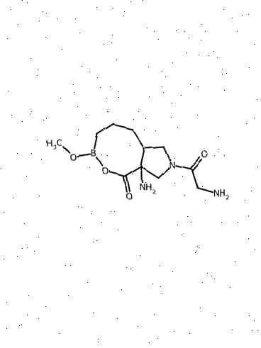 COB1CCCC2CN(C(=O)CN)CC2(N)C(=O)O1